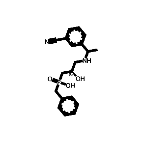 CC(NC[C@@H](O)CP(=O)(O)Cc1ccccc1)c1cccc(C#N)c1